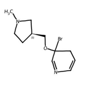 CN1CC[C@H](COC2(Br)C=NC=CC2)C1